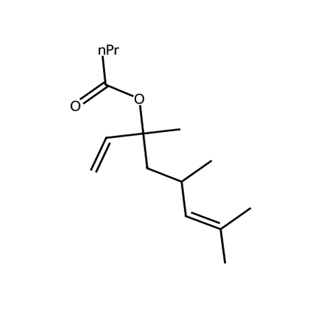 C=CC(C)(CC(C)C=C(C)C)OC(=O)CCC